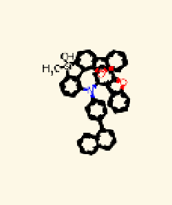 C[Si]1(C)c2cccc(N(c3ccc(-c4cccc5ccccc45)cc3)c3cccc4oc5ccccc5c34)c2-c2c1ccc1c2oc2ccccc21